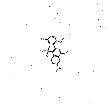 COc1ccc(Cl)cc1-c1cc(OC)c2c(c1S(N)(=O)=O)CCC(N(C)C)C2